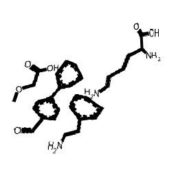 COCC(=O)O.NCCCCC(N)C(=O)O.NCCc1ccccc1.O=Cc1ccc(-c2ccccc2)cc1